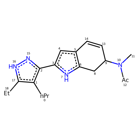 CCCc1c(-c2cc3c([nH]2)CC(N(C)C(C)=O)C=C3)n[nH]c1CC